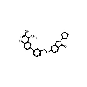 CC(C(=O)O)c1cc(-c2cccc(COc3ccc4c(c3)CN(C3CCCC3)C4=O)c2)ccc1Cl